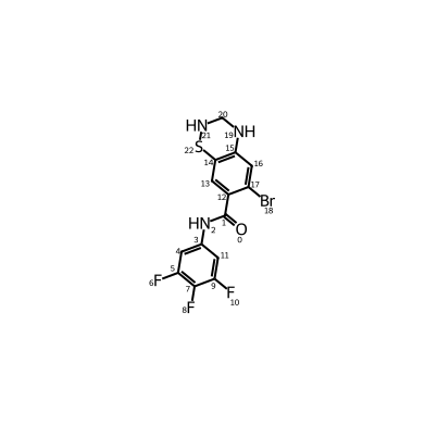 O=C(Nc1cc(F)c(F)c(F)c1)c1cc2c(cc1Br)NCNS2